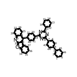 c1ccc(-c2ccc(-c3nc(-c4ccccc4)nc(-c4ccc(-c5c6ccccc6nc6oc7ccccc7c56)cc4)n3)cc2)cc1